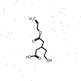 C=CCOC(=O)CC(CCO)CC(=O)O